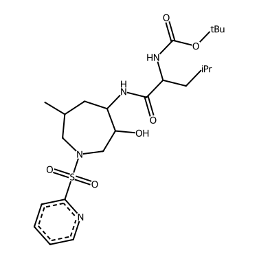 CC(C)CC(NC(=O)OC(C)(C)C)C(=O)NC1CC(C)CN(S(=O)(=O)c2ccccn2)CC1O